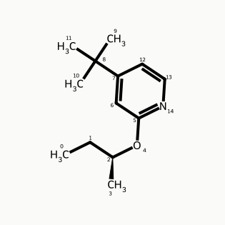 CC[C@H](C)Oc1cc(C(C)(C)C)ccn1